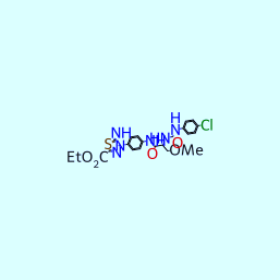 CCOC(=O)c1nn(-c2ccc(NC(=O)C(COC)NC(=O)Nc3ccc(Cl)cc3)cc2)c(=N)s1